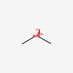 CCCCCCCCCCCCCCCC(=O)OC[C@H](COP(=O)(O)SCCO)OC(=O)CCCCCCCCCCCCCCC